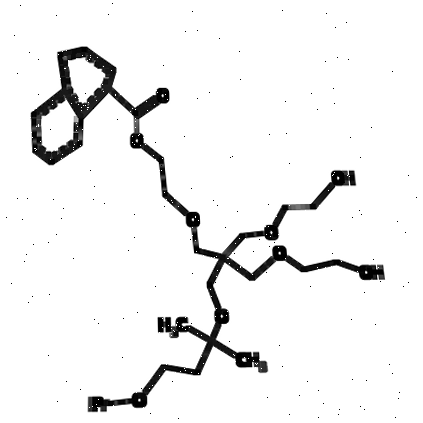 CC(C)OCCC(C)(C)OCC(COCCO)(COCCO)COCCOC(=O)c1cccc2ccccc12